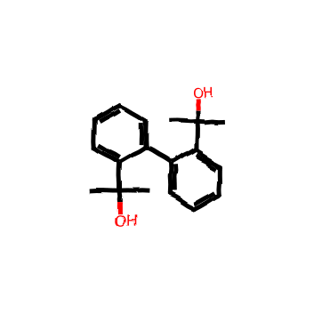 CC(C)(O)c1ccccc1-c1ccccc1C(C)(C)O